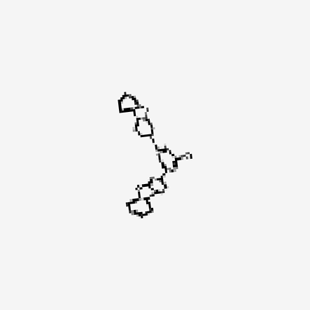 Clc1cc(-c2ccc3c(c2)oc2ccccc23)nc(-c2ccc3c(c2)oc2ccccc23)n1